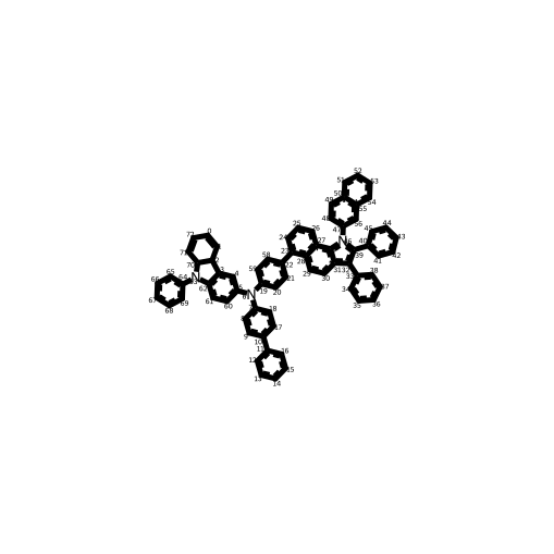 C1=CC2c3cc(N(c4ccc(-c5ccccc5)cc4)c4ccc(-c5cccc6c5ccc5c(-c7ccccc7)c(-c7ccccc7)n(-c7ccc8ccccc8c7)c56)cc4)ccc3N(c3ccccc3)C2C=C1